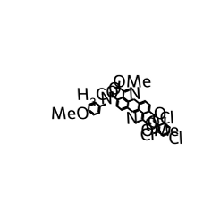 COC(=O)c1cnc2c3ccc(C(=O)N(C)Cc4ccc(OC)cc4)c4c(C(=O)OC)cnc(c5ccc(C(=O)Oc6c(Cl)cc(Cl)cc6Cl)c1c52)c43